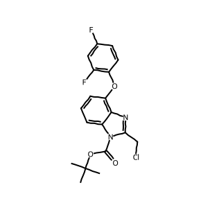 CC(C)(C)OC(=O)n1c(CCl)nc2c(Oc3ccc(F)cc3F)cccc21